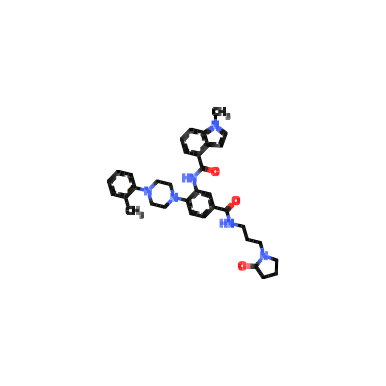 Cc1ccccc1N1CCN(c2ccc(C(=O)NCCCN3CCCC3=O)cc2NC(=O)c2cccc3c2ccn3C)CC1